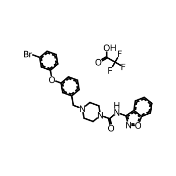 O=C(Nc1noc2ccccc12)N1CCN(Cc2cccc(Oc3cccc(Br)c3)c2)CC1.O=C(O)C(F)(F)F